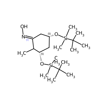 CC1/C(=N/O)C[C@H](O[Si](C)(C)C(C)(C)C)C[C@@H]1O[Si](C)(C)C(C)(C)C